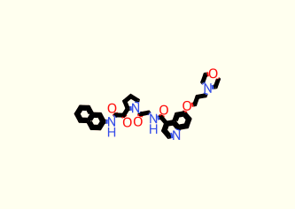 O=C(Nc1ccc2ccccc2c1)C(=O)C1CCCN1C(=O)CNC(=O)c1ccnc2ccc(OCCCN3CCOCC3)cc12